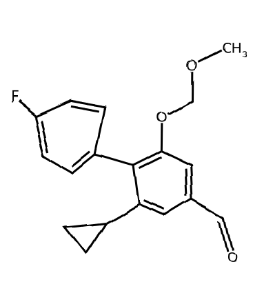 COCOc1cc(C=O)cc(C2CC2)c1-c1ccc(F)cc1